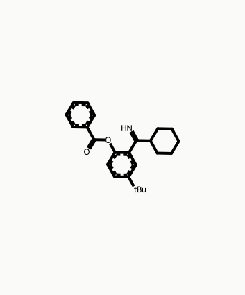 CC(C)(C)c1ccc(OC(=O)c2ccccc2)c(C(=N)C2CCCCC2)c1